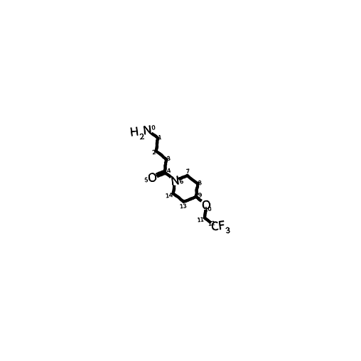 NCCCC(=O)N1CCC(OCC(F)(F)F)CC1